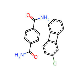 Clc1ccc2c(c1)-c1ccccc1-2.NC(=O)c1ccc(C(N)=O)cc1